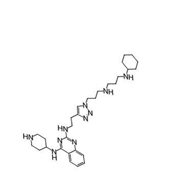 c1ccc2c(NC3CCNCC3)nc(NCCc3cn(CCCNCCCNC4CCCCC4)nn3)nc2c1